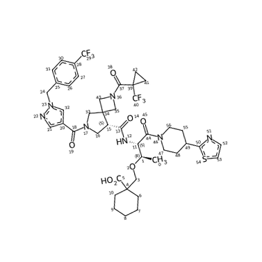 C[C@@H](OCC1(C(=O)O)CCCCC1)[C@H](NC(=O)[C@@H]1CN(C(=O)c2cnn(Cc3ccc(C(F)(F)F)cc3)c2)CC12CN(C(=O)C1(C(F)(F)F)CC1)C2)C(=O)N1CCC(c2nccs2)CC1